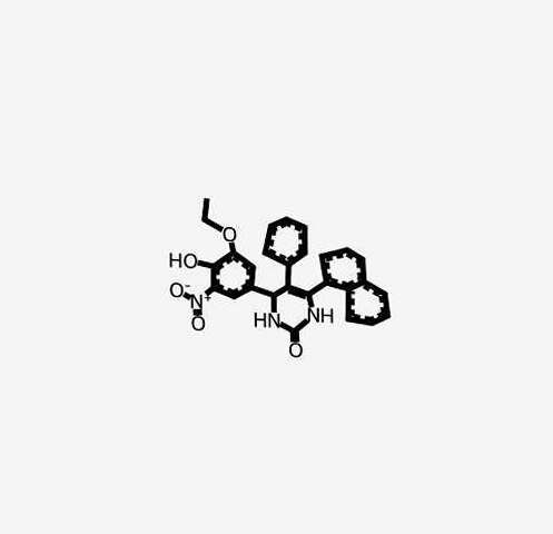 CCOc1cc(C2NC(=O)NC(c3cccc4ccccc34)=C2c2ccccc2)cc([N+](=O)[O-])c1O